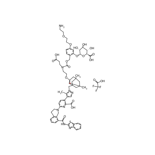 Cc1c(-c2ccc(N3CCc4cccc(C(=O)Nc5nc6ccccc6s5)c4C3)nc2C(=O)O)cnn1CC12CC3(C)CC(C)(C1)CC(OCCN(CCC(=O)O)C(=O)OCc1ccc(OCCOCCN)cc1O[C@@H]1O[C@H](C(=O)O)[C@@H](O)[C@H](O)[C@H]1O)(C3)C2.O=C(O)C(F)(F)F